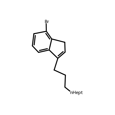 CCCCCCCCCCC1=CCc2c(Br)cccc21